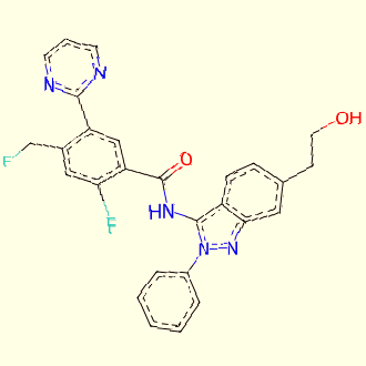 O=C(Nc1c2ccc(CCO)cc2nn1-c1ccccc1)c1cc(-c2ncccn2)c(CF)cc1F